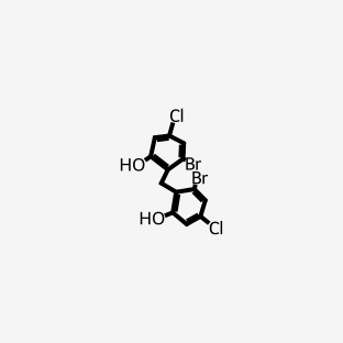 Oc1cc(Cl)cc(Br)c1Cc1c(O)cc(Cl)cc1Br